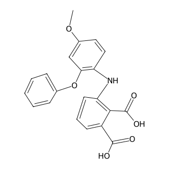 COc1ccc(Nc2cccc(C(=O)O)c2C(=O)O)c(Oc2ccccc2)c1